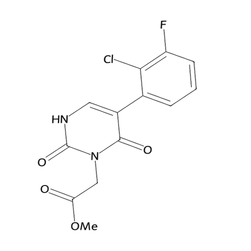 COC(=O)Cn1c(=O)[nH]cc(-c2cccc(F)c2Cl)c1=O